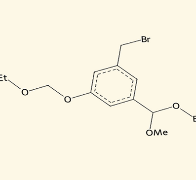 CCOCOc1cc(CBr)cc(C(OC)OCC)c1